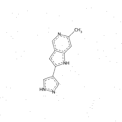 Cc1cc2[nH]c(-c3cn[nH]c3)cc2cn1